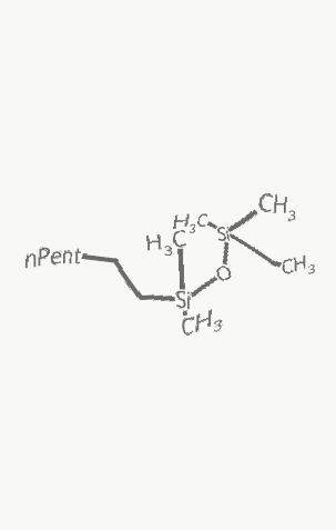 [CH2]CCCCCC[Si](C)(C)O[Si](C)(C)C